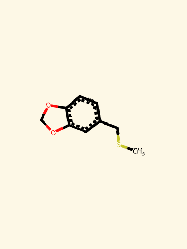 CSCc1ccc2c(c1)OCO2